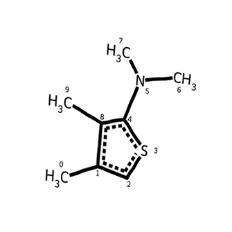 Cc1csc(N(C)C)c1C